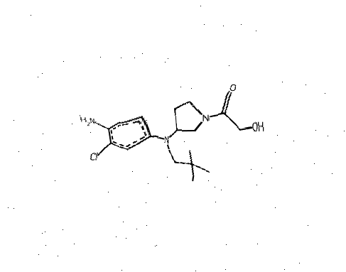 CC(C)(C)CN(c1ccc(N)c(Cl)c1)C1CCN(C(=O)CO)C1